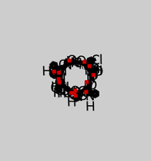 CC1C2C(=O)N1[C@@H](Cc1c[nH]c3ccccc13)C(=O)CC(C(=O)N1CCC[C@H]1C(=O)O)CC(=O)NC(O)C(=O)N[C@@H](CCS(C)(=O)=O)C(=O)N(C)[C@@H](Cc1ccccc1)C(=O)NC(Cc1c[nH]c3ccccc13)C(=O)N1CCC[C@H]1C(=O)N(C)CC(=O)N(C)[C@@H](Cc1ccc(Cl)cc1)C(=O)N[C@@H](CCS(C)(=O)=O)C(=O)N2C